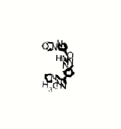 Cn1ncc(-c2ccc3cnc(NC(=O)c4ccnc(N5CCOCC5)c4)nc3c2)c1CN1CCCCC1